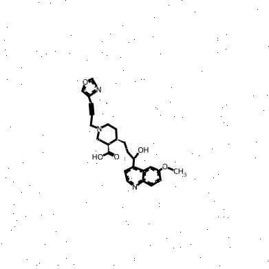 COc1ccc2nccc(C(O)CC[C@@H]3CCN(CC#Cc4cocn4)C[C@@H]3C(=O)O)c2c1